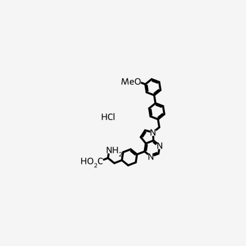 COc1cccc(-c2ccc(Cn3ccc4c(C5=CCC(CC(N)C(=O)O)CC5)ncnc43)cc2)c1.Cl